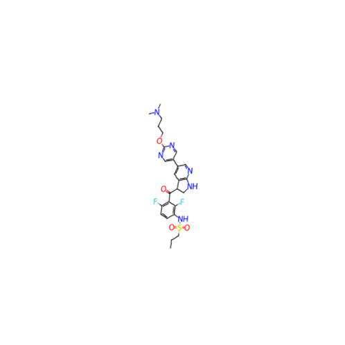 CCCS(=O)(=O)Nc1ccc(F)c(C(=O)C2CNc3ncc(-c4cnc(OCCCN(C)C)nc4)cc32)c1F